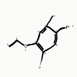 CCOc1cc(C)c(F)cc1F